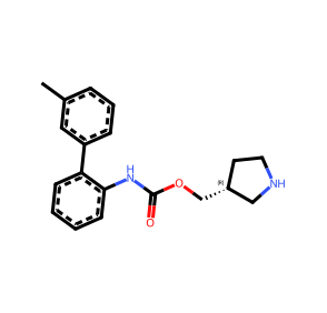 Cc1cccc(-c2ccccc2NC(=O)OC[C@@H]2CCNC2)c1